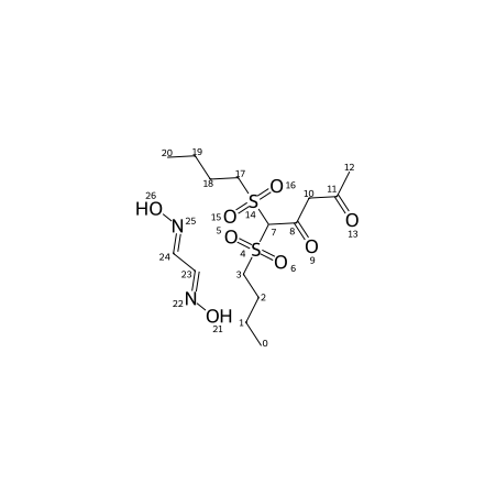 CCCCS(=O)(=O)C(C(=O)CC(C)=O)S(=O)(=O)CCCC.ON=CC=NO